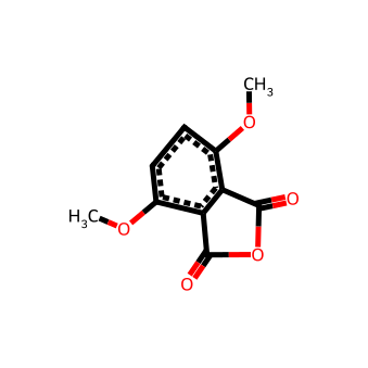 COc1ccc(OC)c2c1C(=O)OC2=O